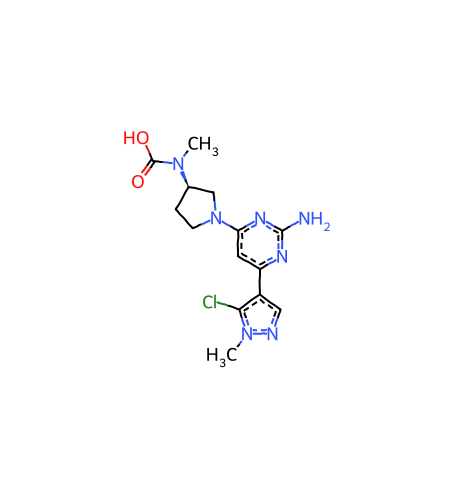 CN(C(=O)O)[C@@H]1CCN(c2cc(-c3cnn(C)c3Cl)nc(N)n2)C1